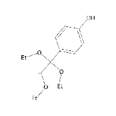 CCO[CH]C(OCC)(OCC)c1ccc(O)cc1